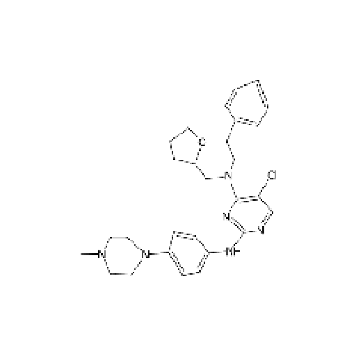 Clc1cnc(Nc2ccc(N3CCN(I)CC3)cc2)nc1N(CCc1ccccc1)CC1CCCO1